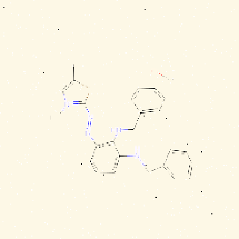 CC(=O)[O-].Cc1c[n+](C)c(N=Nc2cccc(NCc3ccccc3)c2NCc2ccccc2)s1